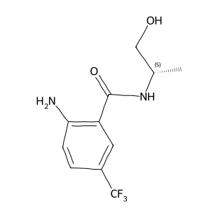 C[C@@H](CO)NC(=O)c1cc(C(F)(F)F)ccc1N